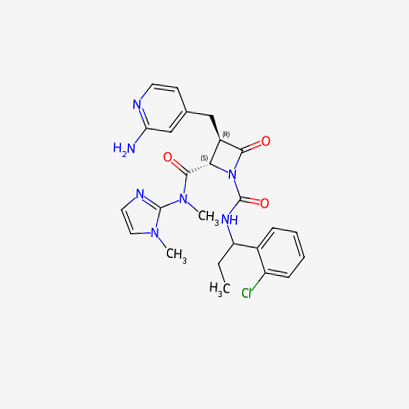 CCC(NC(=O)N1C(=O)[C@H](Cc2ccnc(N)c2)[C@H]1C(=O)N(C)c1nccn1C)c1ccccc1Cl